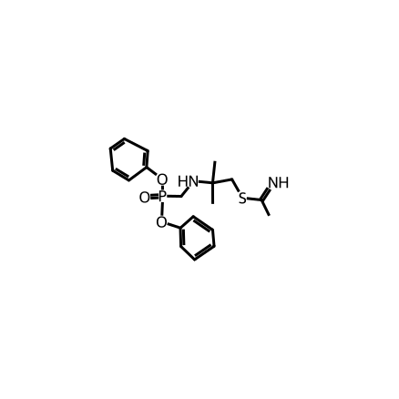 CC(=N)SCC(C)(C)NCP(=O)(Oc1ccccc1)Oc1ccccc1